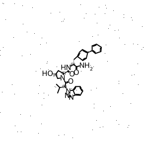 CC(C)[C@@H](C(=O)N1C[C@H](O)C[C@H]1C(=O)N[C@H](Cc1ccc(-c2ccccc2)cc1)C(N)=O)n1nnc2ccccc21